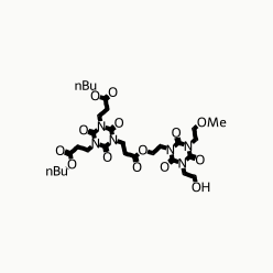 CCCCOC(=O)CCn1c(=O)n(CCC(=O)OCCCC)c(=O)n(CCC(=O)OCCn2c(=O)n(CCO)c(=O)n(CCOC)c2=O)c1=O